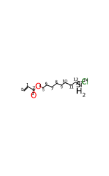 C=CC(=O)OCCCCCCCC[SiH2]Cl